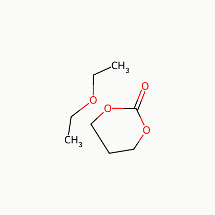 CCOCC.O=C1OCCCO1